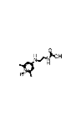 Cc1cc(NCCNC(=O)O)cc(C)[n+]1[O-]